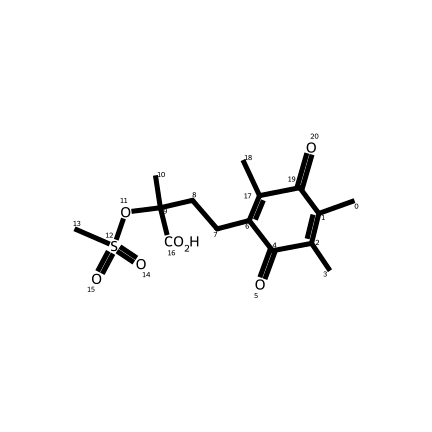 CC1=C(C)C(=O)C(CCC(C)(OS(C)(=O)=O)C(=O)O)=C(C)C1=O